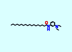 CCCCCCCCCCCCCCCCCC(=O)Nc1cccc(N(CC)CC)c1